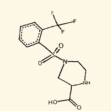 O=C(O)C1CN(S(=O)(=O)c2ccccc2C(F)(F)F)CCN1